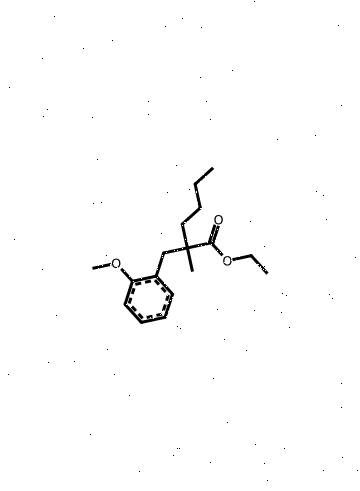 CCCCC(C)(Cc1ccccc1OC)C(=O)OCC